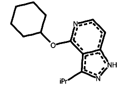 CC(C)c1n[nH]c2ccnc(OC3CCCCC3)c12